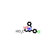 CC(CC1=CC(c2ccc(Cl)cc2)N(Cc2ccccc2)N1O)C(=O)O